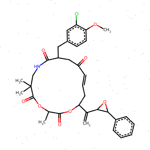 C=C(C1C/C=C/C(=O)CC(Cc2ccc(OC)c(Cl)c2)C(=O)NCC(C)(C)C(=O)OC(C)C(=O)O1)C1OC1c1ccccc1